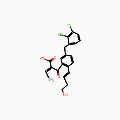 C/C=C(/C(=O)O)C(=O)c1cc(Cc2cccc(Cl)c2Cl)ccc1C=CCCO